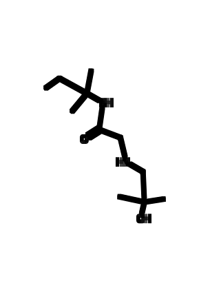 CCC(C)(C)NC(=O)CNCC(C)(C)O